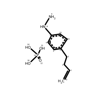 C=CCCc1ccc(NN)cc1.O=P(O)(O)O